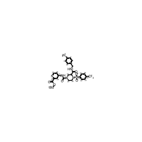 CC(C)c1ccc(CNC(=O)C2CN(C(=O)Nc3ccnc(C(=O)OC(C)(C)C)c3)CCN2S(=O)(=O)c2ccc(C(F)(F)F)cc2)cc1